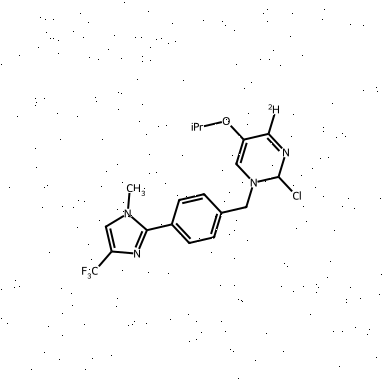 [2H]C1=NC(Cl)N(Cc2ccc(-c3nc(C(F)(F)F)cn3C)cc2)C=C1OC(C)C